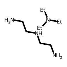 CCN(CC)CC.NCCNCCN